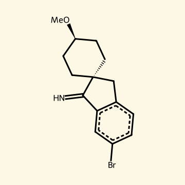 CO[C@H]1CC[C@]2(CC1)Cc1ccc(Br)cc1C2=N